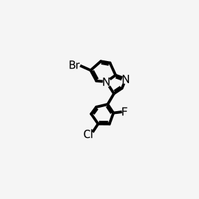 Fc1cc(Cl)ccc1-c1cnc2ccc(Br)cn12